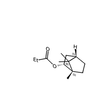 CCC(=O)O[C@@H]1C[C@@H]2CC[C@@]1(C)C2(C)C